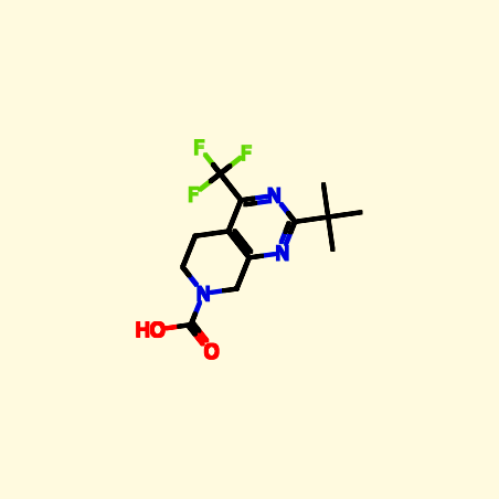 CC(C)(C)c1nc2c(c(C(F)(F)F)n1)CCN(C(=O)O)C2